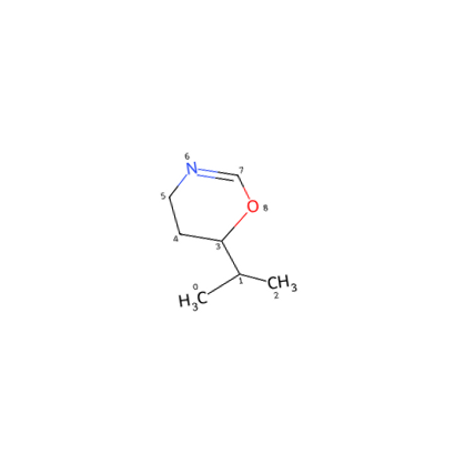 CC(C)C1CCN=CO1